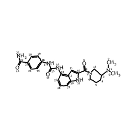 CN(C)C1CCCN(C(=O)c2cc3c(NC(=O)Nc4ccc(C(N)=O)cc4)cccc3[nH]2)C1